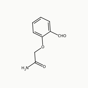 NC(=O)COc1ccccc1C=O